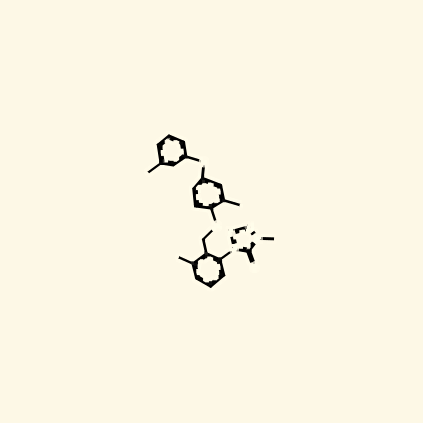 Cc1cccc(Oc2ccc(OCc3c(C)cccc3-n3nnn(C)c3=O)c(C)c2)c1